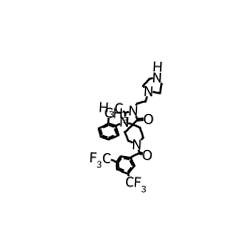 Cc1ccccc1N1C(C)N(CCN2CCNCC2)C(=O)C12CCN(C(=O)c1cc(C(F)(F)F)cc(C(F)(F)F)c1)CC2